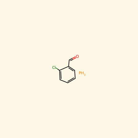 O=Cc1ccccc1Cl.P